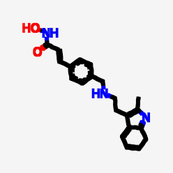 CC1=C(CCNCc2ccc(C=CC(=O)NO)cc2)C2=CC=CCC2=N1